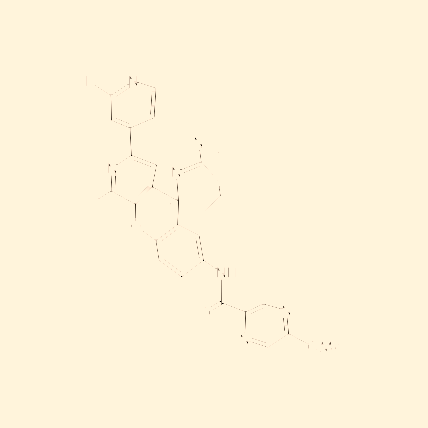 COc1cnc(C(=O)Nc2ccc3c(c2)[C@@]2(CCSC(N)=N2)c2cc(-c4ccnc(F)c4)nc(F)c2O3)cn1